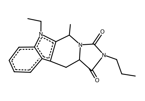 CCCN1C(=O)C2Cc3c(n(CC)c4ccccc34)C(C)N2C1=O